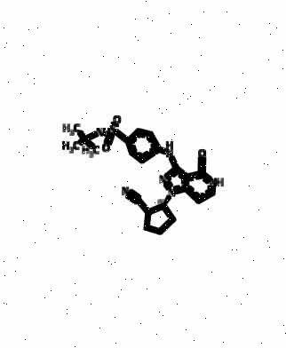 CC(C)(C)NS(=O)(=O)c1ccc(Nc2nn([C@H]3CCCC3C#N)c3cc[nH]c(=O)c23)cc1